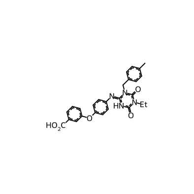 CCn1c(=O)[nH]/c(=N\c2ccc(Oc3cccc(C(=O)O)c3)cc2)n(Cc2ccc(C)cc2)c1=O